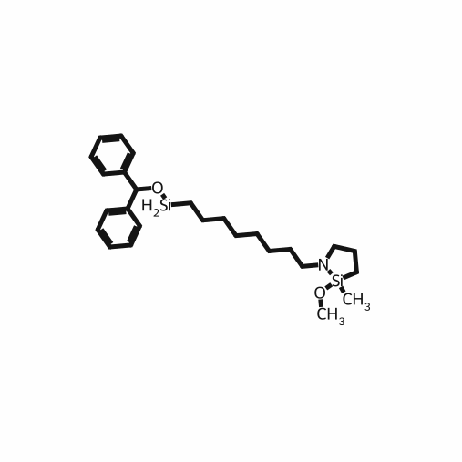 CO[Si]1(C)CCCN1CCCCCCCC[SiH2]OC(c1ccccc1)c1ccccc1